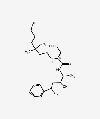 CCC(CC(O)C(C)NC(=O)[C@H](CC(=O)O)NCCC(C)(C)CCCO)c1ccccc1